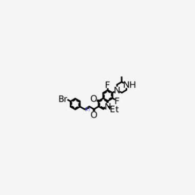 CCn1cc(C(=O)/C=C/c2ccc(Br)cc2)c(=O)c2cc(F)c(N3CCNC(C)C3)c(F)c21